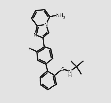 CC(C)(C)NSc1ccccc1-c1ccc(-c2cn3c(N)cccc3n2)c(F)c1